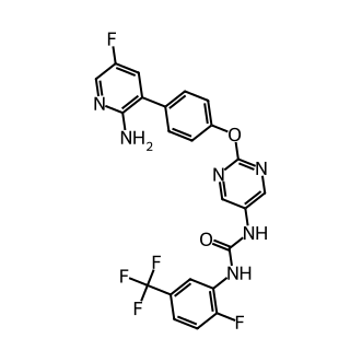 Nc1ncc(F)cc1-c1ccc(Oc2ncc(NC(=O)Nc3cc(C(F)(F)F)ccc3F)cn2)cc1